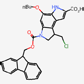 CCCCOc1cc2c(c3cc(C(=O)O)[nH]c13)C(CCl)CN2C(=O)OCC1c2ccccc2-c2ccccc21